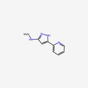 CNNc1cc(-c2ccccn2)[nH]n1